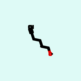 C#CCC[CH]C[O]